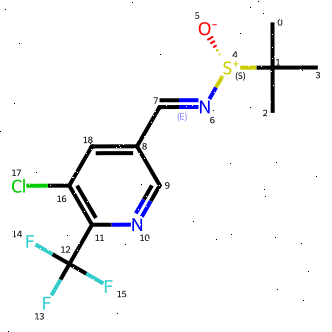 CC(C)(C)[S@@+]([O-])/N=C/c1cnc(C(F)(F)F)c(Cl)c1